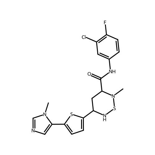 CN1SNC(c2ccc(-c3cncn3C)s2)CC1C(=O)Nc1ccc(F)c(Cl)c1